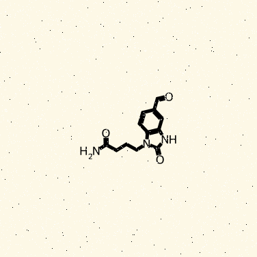 NC(=O)CCCn1c(=O)[nH]c2cc(C=O)ccc21